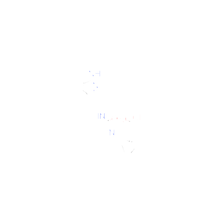 O=C(O)CC1CN(CC(=O)NCCCc2ccc3c(n2)NCCC3)CCc2ccccc21